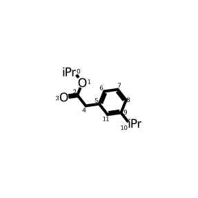 CC(C)OC(=O)Cc1cccc(C(C)C)c1